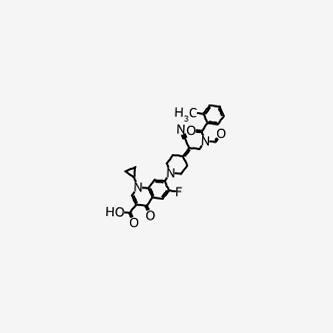 Cc1ccccc1C(=O)N(C=O)CC(C#N)=C1CCN(c2cc3c(cc2F)c(=O)c(C(=O)O)cn3C2CC2)CC1